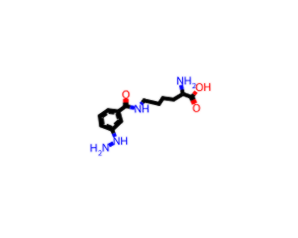 NNc1cccc(C(=O)NCCCCC(N)C(=O)O)c1